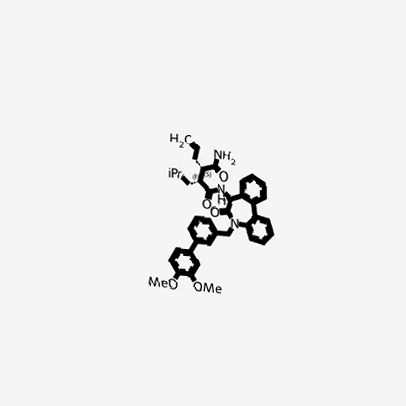 C=CC[C@H](C(N)=O)[C@@H](CC(C)C)C(=O)NC1C(=O)N(Cc2cccc(-c3ccc(OC)c(OC)c3)c2)c2ccccc2-c2ccccc21